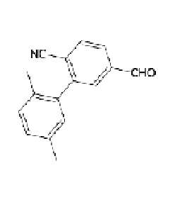 Cc1ccc(C)c(-c2cc(C=O)ccc2C#N)c1